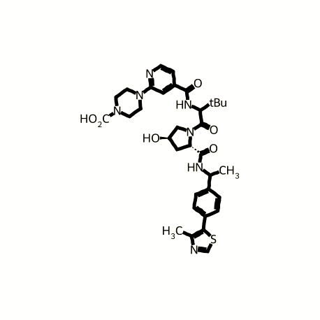 Cc1ncsc1-c1ccc(C(C)NC(=O)[C@@H]2C[C@@H](O)CN2C(=O)C(NC(=O)c2ccnc(N3CCN(C(=O)O)CC3)c2)C(C)(C)C)cc1